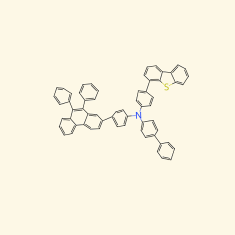 c1ccc(-c2ccc(N(c3ccc(-c4ccc5c(c4)c(-c4ccccc4)c(-c4ccccc4)c4ccccc45)cc3)c3ccc(-c4cccc5c4sc4ccccc45)cc3)cc2)cc1